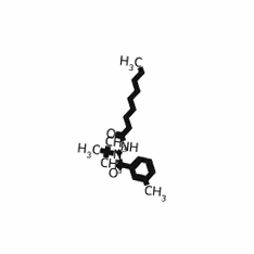 CCCCCCCCC(=O)NN(C(=O)c1cccc(C)c1)C(C)(C)C